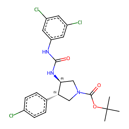 CC(C)(C)OC(=O)N1C[C@H](NC(=O)Nc2cc(Cl)cc(Cl)c2)[C@@H](c2ccc(Cl)cc2)C1